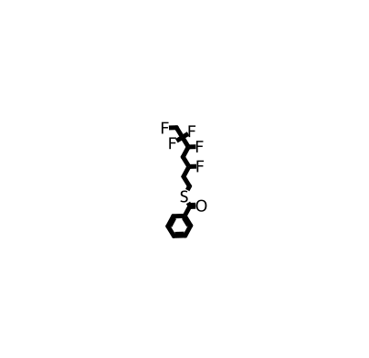 O=C(SCCC(F)CC(F)C(F)(F)CF)c1ccccc1